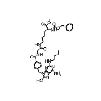 CCCCNc1nc(N)c2nc(O)n(Cc3ccc(C(=O)NCC(=O)NCCCCC(NC(=O)OCc4ccccc4)C(=O)OC)cc3)c2n1